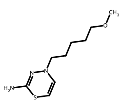 COCCCCCN1C=CSC(N)=N1